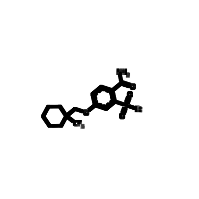 CCS(=O)(=O)c1cc(OCC2(C(F)(F)F)CCCCC2)ccc1C(N)=O